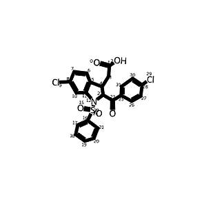 O=C(O)CC1c2ccc(Cl)cc2N(S(=O)(=O)c2ccccc2)C1C(=O)c1ccc(Cl)cc1